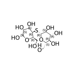 OC[C@@H]1O[C@H](S[C@@H]2[C@@H](O)[C@H](O)[C@@H](O)O[C@@H]2CO)[C@@H](O)[C@H](O)[C@H]1O